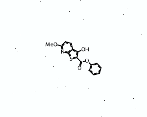 COc1ccc2c(O)c(C(=O)Oc3ccccc3)sc2n1